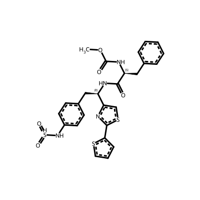 COC(=O)N[C@@H](Cc1ccccc1)C(=O)N[C@H](Cc1ccc(N[SH](=O)=O)cc1)c1csc(-c2cccs2)n1